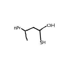 CCCC(C)CC(O)S